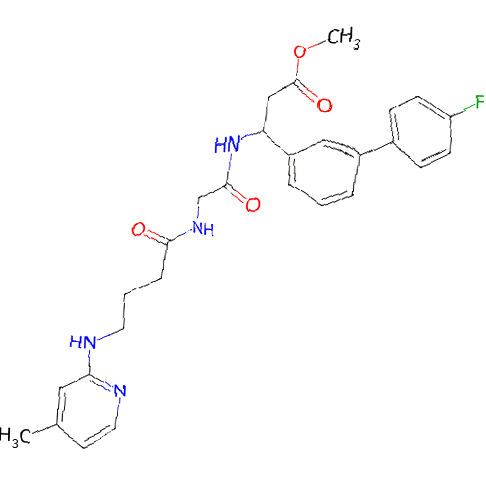 COC(=O)CC(NC(=O)CNC(=O)CCCNc1cc(C)ccn1)c1cccc(-c2ccc(F)cc2)c1